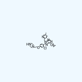 Cc1ccc(Cn2c(-c3ccc(OCCN4CCNCC4)cc3Cl)nc3c(OC4(C)CC4)ncnc32)nc1